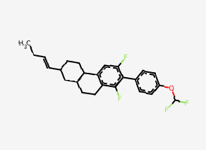 CCC=CC1CCC2c3cc(F)c(-c4ccc(OC(F)F)cc4)c(F)c3CCC2C1